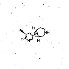 C#Cc1cc(N2[C@@H]3CCNC[C@H]2CC3)cnc1F